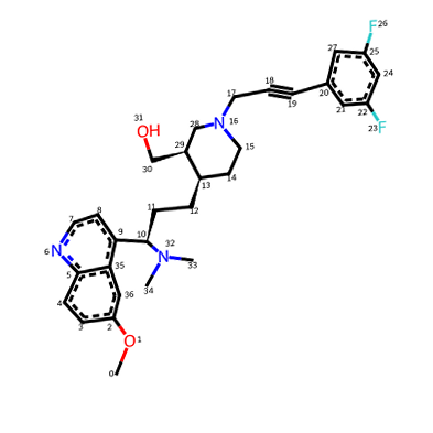 COc1ccc2nccc([C@@H](CC[C@@H]3CCN(CC#Cc4cc(F)cc(F)c4)C[C@@H]3CO)N(C)C)c2c1